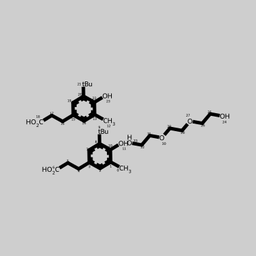 Cc1cc(CCC(=O)O)cc(C(C)(C)C)c1O.Cc1cc(CCC(=O)O)cc(C(C)(C)C)c1O.OCCOCCOCCO